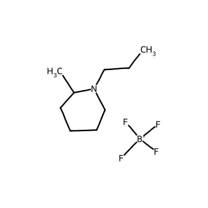 CCCN1CCCCC1C.F[B-](F)(F)F